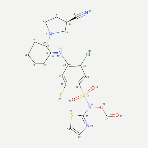 N#C[C@@H]1CCN([C@H]2CCCC[C@@H]2Nc2cc(F)c(S(=O)(=O)N(OC=O)c3nccs3)cc2Cl)C1